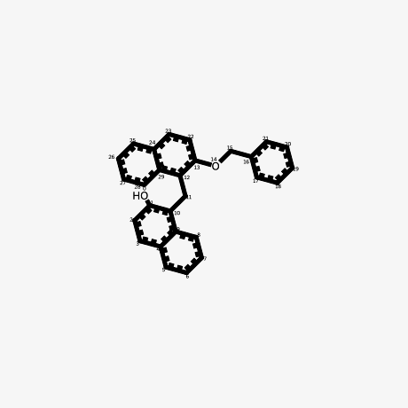 Oc1ccc2ccccc2c1Cc1c(OCc2ccccc2)ccc2ccccc12